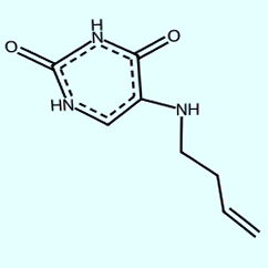 C=CCCNc1c[nH]c(=O)[nH]c1=O